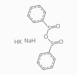 O=S(OS(=O)c1ccccc1)c1ccccc1.[KH].[NaH]